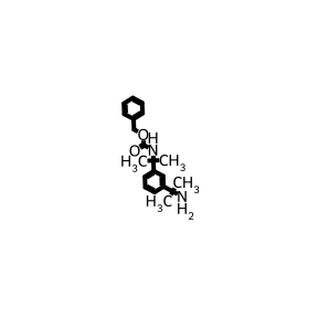 CC(C)(N)c1cccc(C(C)(C)NC(=O)OCc2ccccc2)c1